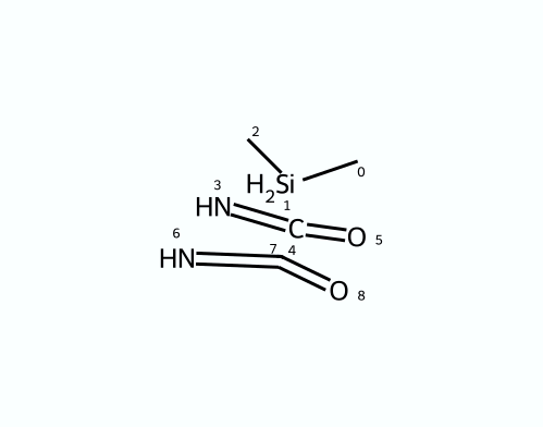 C[SiH2]C.N=C=O.N=C=O